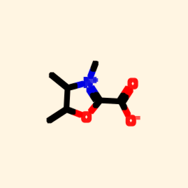 CC1OC(C(=O)[O-])=[N+](C)C1C